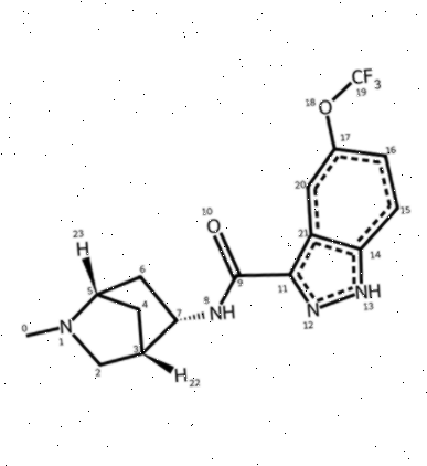 CN1C[C@@H]2C[C@H]1C[C@@H]2NC(=O)c1n[nH]c2ccc(OC(F)(F)F)cc12